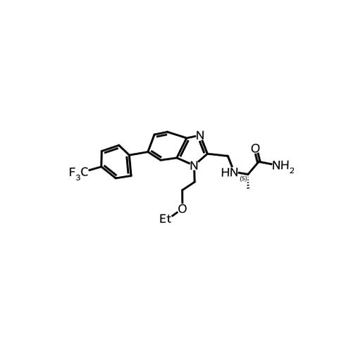 CCOCCn1c(CN[C@@H](C)C(N)=O)nc2ccc(-c3ccc(C(F)(F)F)cc3)cc21